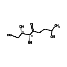 CC(O)CCC(=O)[C@H](O)[C@@H](O)CO